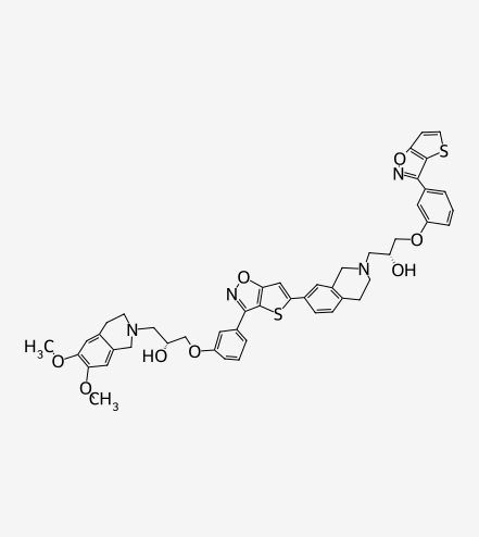 COc1cc2c(cc1OC)CN(C[C@@H](O)COc1cccc(-c3noc4cc(-c5ccc6c(c5)CN(C[C@@H](O)COc5cccc(-c7noc8ccsc78)c5)CC6)sc34)c1)CC2